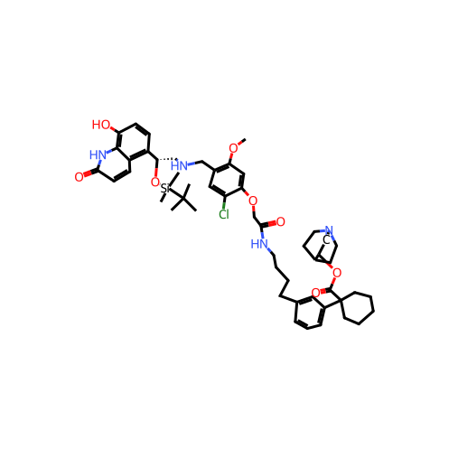 COc1cc(OCC(=O)NCCCCc2cccc(C3(C(=O)OC4CN5CCC4CC5)CCCCC3)c2)c(Cl)cc1CNC[C@H](O[Si](C)(C)C(C)(C)C)c1ccc(O)c2[nH]c(=O)ccc12